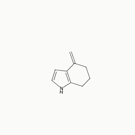 C=C1CCCc2[nH]ccc21